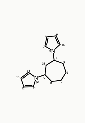 c1ccn(C2CCCCC(n3cccc3)C2)c1